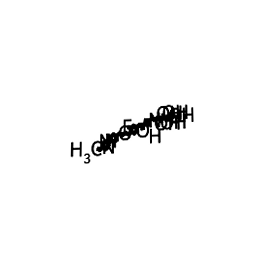 CCc1cnc(N2CCC(CCOCc3ccc(CC(=O)C4CC(CNCC(O)C(O)C(O)C(O)CO)C4)cc3F)CC2)nc1